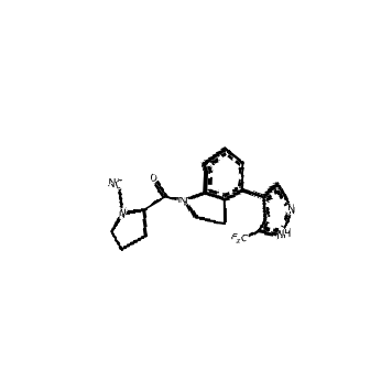 N#CN1CCCC1C(=O)N1CCc2c(-c3cn[nH]c3C(F)(F)F)cccc21